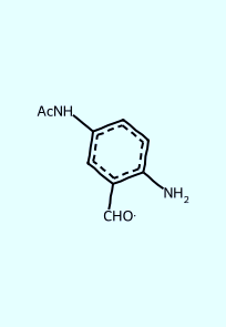 CC(=O)Nc1ccc(N)c([C]=O)c1